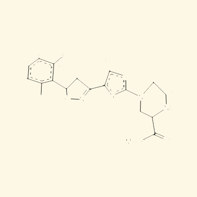 COC(=O)C1CN(c2nc(C3=NOC(c4c(F)cccc4F)C3)cs2)CCN1.Cl